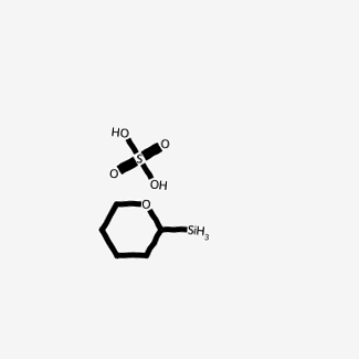 O=S(=O)(O)O.[SiH3]C1CCCCO1